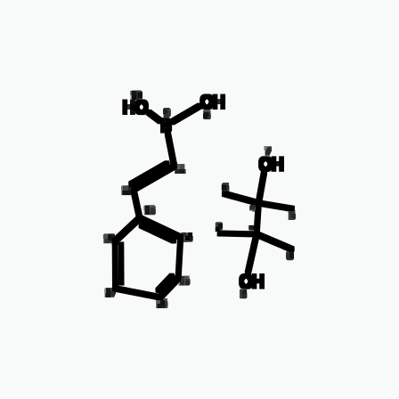 CC(C)(O)C(C)(C)O.OB(O)C=Cc1ccccc1